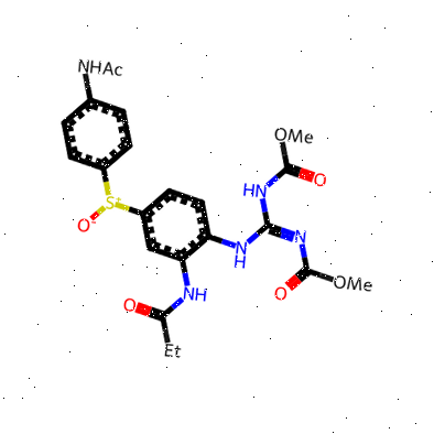 CCC(=O)Nc1cc([S+]([O-])c2ccc(NC(C)=O)cc2)ccc1NC(=NC(=O)OC)NC(=O)OC